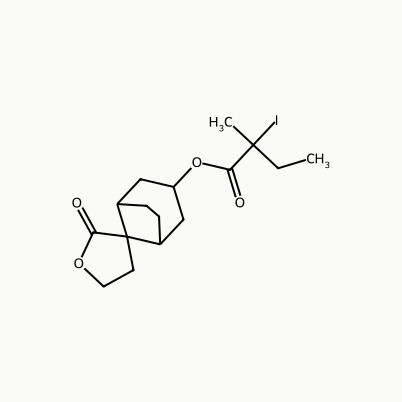 CCC(C)(I)C(=O)OC1CC2CCC(C1)C21CCOC1=O